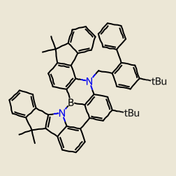 CC(C)(C)c1ccc(CN2c3cc(C(C)(C)C)cc4c3B(c3ccc5c(c32)-c2ccccc2C5(C)C)n2c3c(c5cccc-4c52)C(C)(C)c2ccccc2-3)c(-c2ccccc2)c1